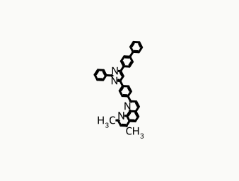 Cc1cc(C)c2ccc3ccc(-c4ccc(-c5cc(-c6ccc(-c7ccccc7)cc6)nc(-c6ccccc6)n5)cc4)nc3c2n1